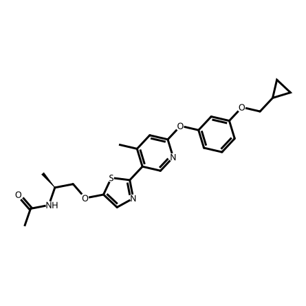 CC(=O)N[C@@H](C)COc1cnc(-c2cnc(Oc3cccc(OCC4CC4)c3)cc2C)s1